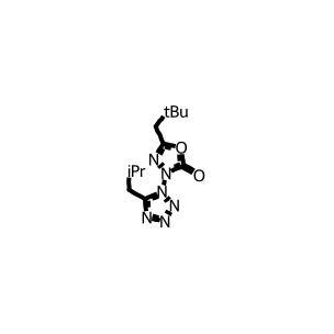 CC(C)Cc1nnnn1-n1nc(CC(C)(C)C)oc1=O